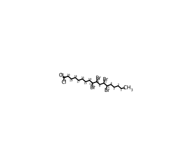 CCCCCC(Br)C(Br)CC(Br)C(Br)CCCCCCCC(=O)Cl